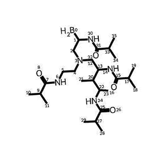 BC(CN(CCNC(=O)C(C)C)CC(NC(=O)C(C)C)C(C)C(C)NC(=O)C(C)C)NC(=O)C(C)C